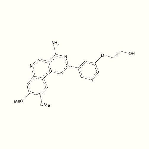 COc1cc2ncc3c(N)nc(-c4cncc(OCCO)c4)cc3c2cc1OC